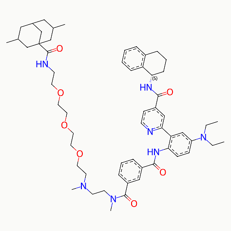 CCN(CC)c1ccc(NC(=O)c2cccc(C(=O)N(C)CCN(C)CCOCCOCCOCCNC(=O)C34CC(C)CC(CC(C)C3)C4)c2)c(-c2cc(C(=O)N[C@H]3CCCc4ccccc43)ccn2)c1